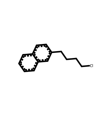 ClCCCCc1ccc2ccccc2c1